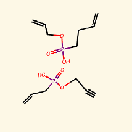 C#CCOP(=O)(O)CC=C.C=CCCP(=O)(O)OCC=C